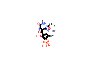 CCNC(=O)c1noc(-c2cc(C(C)C)c(OP(=O)(O)O)cc2O)c1-c1noc(C)n1.[KH]